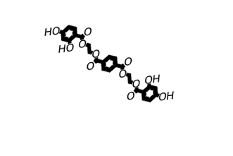 O=C(OCCOC(=O)c1ccc(O)cc1O)c1ccc(C(=O)OCCOC(=O)c2ccc(O)cc2O)cc1